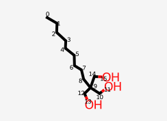 CCCCCCCCCC(CO)(CO)CO